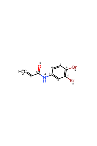 C=CC(=O)Nc1ccc(Br)c(Br)c1